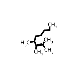 CCCCCC(C)C(C)=C(C)C